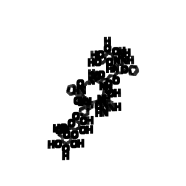 CC(c1ccccc1)C1NC(=O)CNC(=O)C(C(O)C(=O)CC(=O)C(COc2ccccc2)NC2CNC(=N)N2C2OC(CO)C(O)C(O)C2O)NC(=O)C(C(O)C2CNC(=N)N2)NC(=O)C(Cc2ccc(OC3OC(CO)C(OC4OC(CO)C(O)C(O)C4O)C(O)C3O)cc2)NC1=O